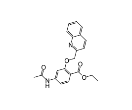 CCOC(=O)c1ccc(NC(C)=O)cc1OCc1ccc2ccccc2n1